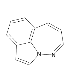 C1=Cc2cccc3ccn(c23)N=C1